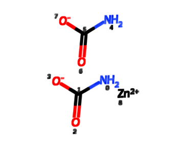 NC(=O)[O-].NC(=O)[O-].[Zn+2]